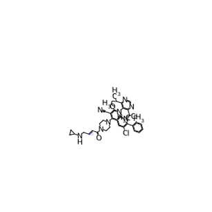 CC(C)c1ncnc(C(C)C)c1-n1c(=O)c(C#N)c(N2CCN(C(=O)/C=C/CNC3CC3)CC2)c2cc(Cl)c(-c3ccccc3F)nc21